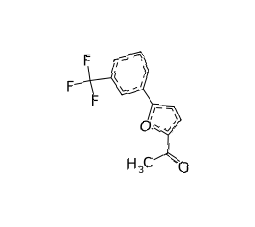 CC(=O)c1ccc(-c2cccc(C(F)(F)F)c2)o1